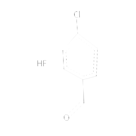 F.O=Cc1ccc(Cl)cc1